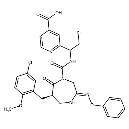 CCC(NC(=O)N1C/C(=N/Oc2ccccc2)NC[C@@H](Cc2cc(Cl)ccc2OC)C1=O)c1cc(C(=O)O)ccn1